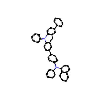 c1ccc(-c2ccc3c(c2)Cc2cc(-c4ccc(N(c5ccccc5)c5cccc6ccccc56)cc4)ccc2N3c2ccccc2)cc1